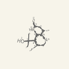 CC(C)(O)c1c(F)cnc2ccc(=O)[nH]c12